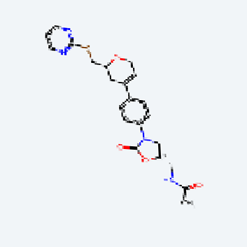 CC(=O)NC[C@H]1CN(c2ccc(C3=CCOC(CSc4ncccn4)C3)cc2)C(=O)O1